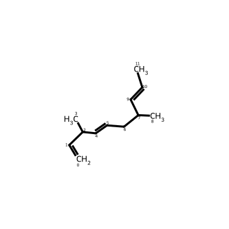 C=CC(C)C=CCC(C)C=CC